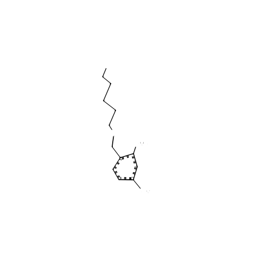 COc1ccc(CSCCCCCC(=O)O)c(OC)c1